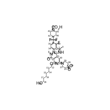 C[C@@H](Nc1nn(C)c(=O)c2c(OCCCCCCCO)nc(N3CCS(=O)(=O)CC3)cc12)c1cccc(C(F)(F)C2CCN(C(=O)O)CC2)c1F